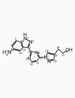 Nc1ccc2[nH]nc(-c3nccc(-n4cc(CCO)cn4)n3)c2c1